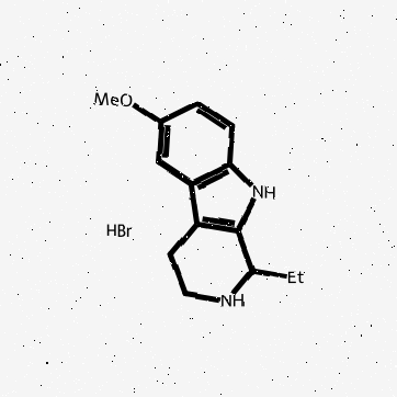 Br.CCC1NCCc2c1[nH]c1ccc(OC)cc21